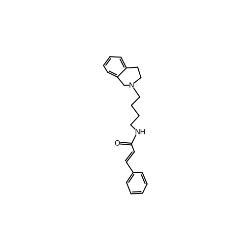 O=C(C=Cc1ccccc1)NCCCCN1CCc2ccccc2C1